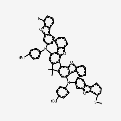 CC(C)(C)c1ccc(N(c2ccc3c(c2)oc2c(I)cccc23)c2cc3c(c4oc5ccccc5c24)-c2c(cc(N(c4ccc(C(C)(C)C)cc4)c4ccc5c(c4)oc4c(SI)cccc45)c4c2oc2ccccc24)C3(C)C)cc1